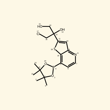 CC1(C)OB(c2ccnc3cc(C(O)(CO)CCl)sc23)OC1(C)C